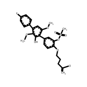 C=C(Cl)CCCOc1ccc(-c2c(OC)cc(-c3ccc(F)cc3)c(OC)c2O)cc1OS(C)(=O)=O